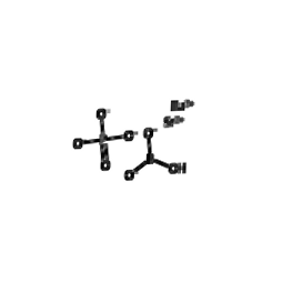 O=P([O-])([O-])[O-].[Eu+3].[O-]B([O-])O.[Sr+2]